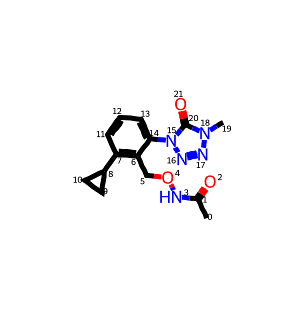 CC(=O)NOCc1c(C2CC2)cccc1-n1nnn(C)c1=O